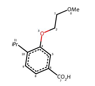 COCCOc1cc(C(=O)O)ccc1C(C)C